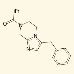 CC(C)C(=O)N1CCn2c(Cc3ccccc3)cnc2C1